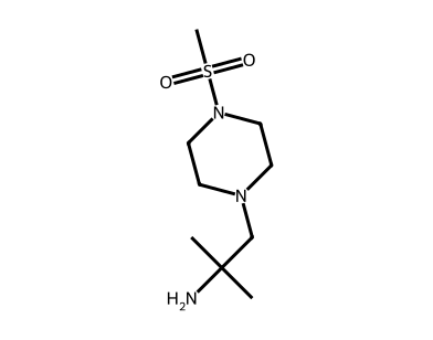 CC(C)(N)CN1CCN(S(C)(=O)=O)CC1